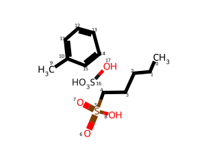 CCCCCS(=O)(=O)O.Cc1ccccc1.O=S(=O)(O)O